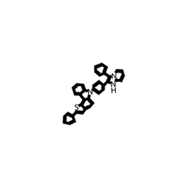 C1=CC2NC(c3ccc(-n4c5ccccc5c5c6sc(-c7ccccc7)cc6ccc54)cc3)=C(c3ccccc3)N2C=C1